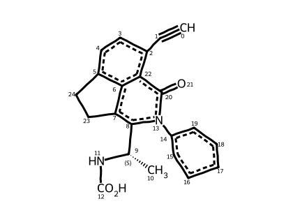 C#Cc1ccc2c3c(c([C@H](C)NC(=O)O)n(-c4ccccc4)c(=O)c13)CC2